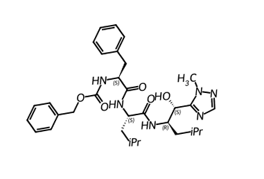 CC(C)C[C@H](NC(=O)[C@H](Cc1ccccc1)NC(=O)OCc1ccccc1)C(=O)N[C@H](CC(C)C)[C@H](O)c1ncnn1C